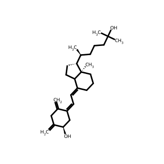 C=C1CC(=C)[C@H](O)C/C1=C/C=C1\CCC[C@@]2(C)C1CC[C@@H]2[C@@H](C)CCCC(C)(C)O